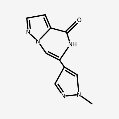 Cn1cc(-c2cn3nccc3c(=O)[nH]2)cn1